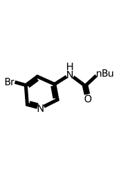 CCCCC(=O)Nc1cncc(Br)c1